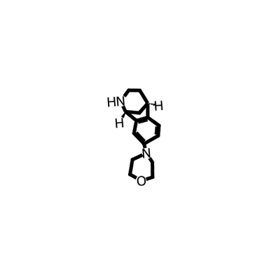 c1cc2c(cc1N1CCOCC1)[C@H]1C[C@H]2CCN1